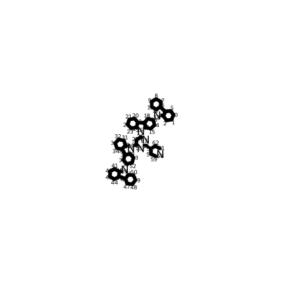 c1ccc2c(c1)c1ccccc1n2-c1ccc2c(c1)c1ccccc1n2-c1cc(-n2c3ccccc3c3cc(-n4c5ccccc5c5ccccc54)ccc32)nc(-c2ccncc2)n1